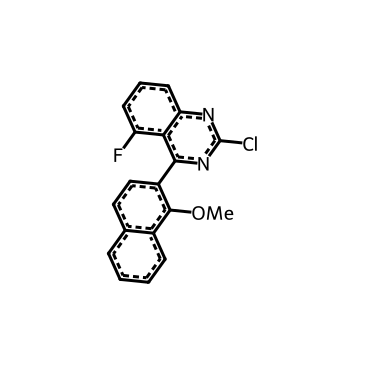 COc1c(-c2nc(Cl)nc3cccc(F)c23)ccc2ccccc12